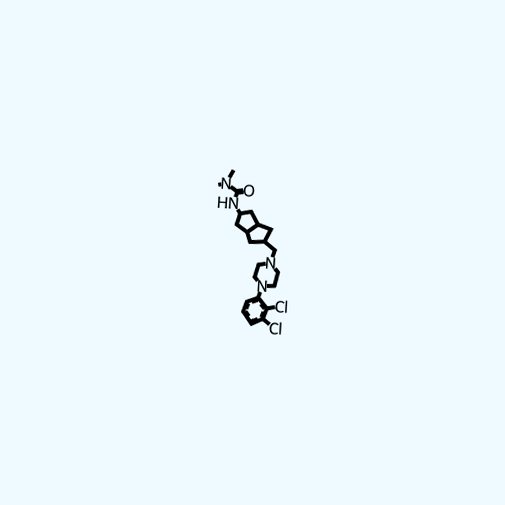 CN(C)C(=O)NC1CC2CC(CN3CCN(c4cccc(Cl)c4Cl)CC3)CC2C1